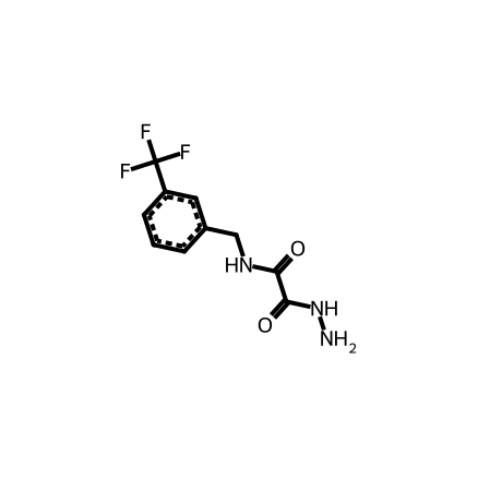 NNC(=O)C(=O)NCc1cccc(C(F)(F)F)c1